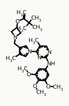 C=C(OC1CN(Cc2cn(-c3nc(Nc4cc(OC)c(OC)c(OC)c4)ncc3C)cc2C)C1)C(C)(C)C